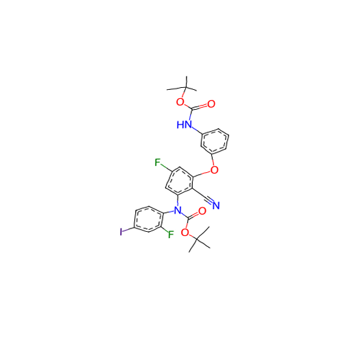 CC(C)(C)OC(=O)Nc1cccc(Oc2cc(F)cc(N(C(=O)OC(C)(C)C)c3ccc(I)cc3F)c2C#N)c1